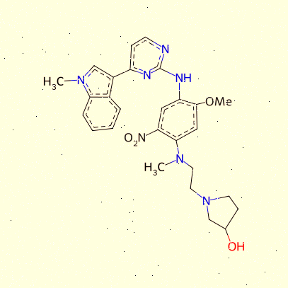 COc1cc(N(C)CCN2CCC(O)C2)c([N+](=O)[O-])cc1Nc1nccc(-c2cn(C)c3ccccc23)n1